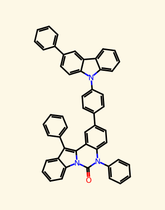 O=c1n(-c2ccccc2)c2ccc(-c3ccc(-n4c5ccccc5c5cc(-c6ccccc6)ccc54)cc3)cc2c2c(-c3ccccc3)c3ccccc3n12